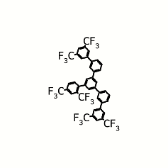 FC(F)(F)c1cc(-c2cccc(-c3cc(-c4cccc(-c5cc(C(F)(F)F)cc(C(F)(F)F)c5)c4)cc(-c4ccc(C(F)(F)F)cc4C(F)(F)F)c3)c2)cc(C(F)(F)F)c1